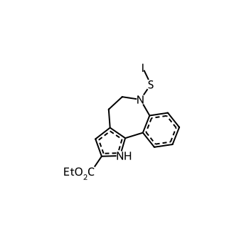 CCOC(=O)c1cc2c([nH]1)-c1ccccc1N(SI)CC2